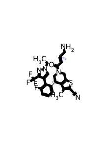 CCn1cc(-c2c(F)cccc2[C@@H]2CN(C(=O)/C=C/CN)Cc3sc(C#N)c(C)c32)c(C(F)(F)F)n1